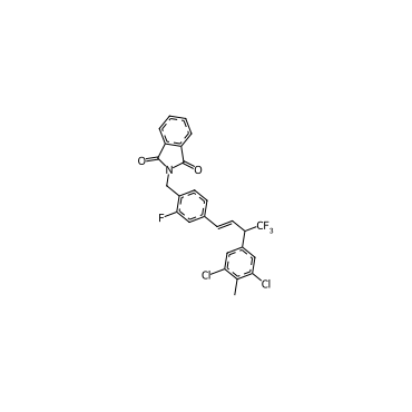 Cc1c(Cl)cc(C(/C=C/c2ccc(CN3C(=O)c4ccccc4C3=O)c(F)c2)C(F)(F)F)cc1Cl